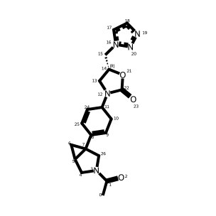 CC(=O)N1CC2CC2(C2=CCC(N3C[C@H](Cn4ccnn4)OC3=O)C=C2)C1